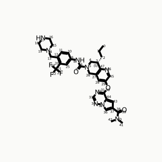 CCC[C@H]1CN(C(=O)Nc2ccc(CN3CCNCC3)c(C(F)(F)F)c2)Cc2cc(Oc3ncnn4cc(C(=O)N(C)C)cc34)cnc21